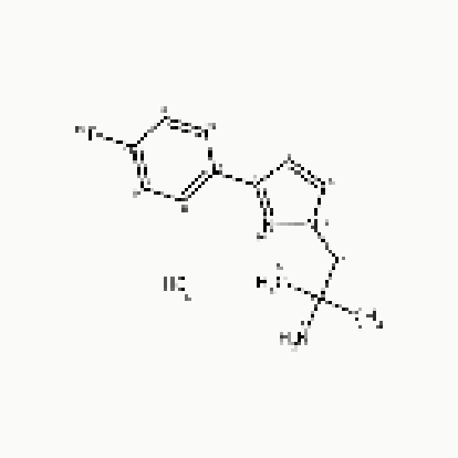 CC(C)(N)Cn1ccc(-c2ccc(F)cc2)n1.Cl